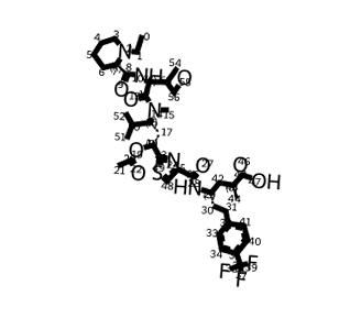 CCN1CCCC[C@@H]1C(=O)N[C@H](C(=O)N(C)[C@H](C[C@@H](OC(C)=O)c1nc(C(=O)N[C@@H](CCc2ccc(C(F)(F)F)cc2)C[C@H](C)C(=O)O)cs1)C(C)C)C1COC1